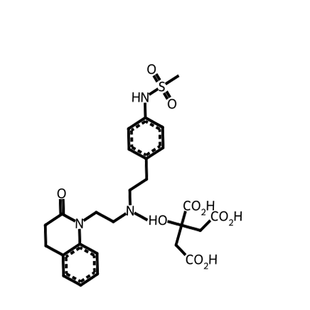 CN(CCc1ccc(NS(C)(=O)=O)cc1)CCN1C(=O)CCc2ccccc21.O=C(O)CC(O)(CC(=O)O)C(=O)O